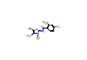 CCn1c(C)c(C(C)(C)C)s/c1=N\C(=O)c1ccc(Cl)cc1C